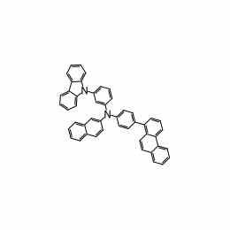 c1cc(N(c2ccc(-c3cccc4c3ccc3ccccc34)cc2)c2ccc3ccccc3c2)cc(-n2c3ccccc3c3ccccc32)c1